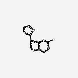 Clc1ccn2ncc(-c3ncc[nH]3)c2n1